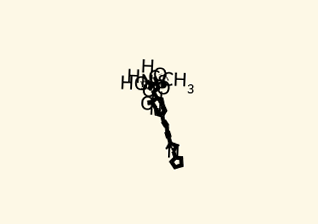 CC(CCN1Cc2cc(C#CC#CC3CN(C4CCCC4)C3)cn2C1=O)(C(=O)NO)S(C)(=O)=O